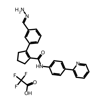 NN=Cc1cccc(C2=C(C(=O)Nc3ccc(-c4ccccn4)cc3)CCC2)c1.O=C(O)C(F)(F)F